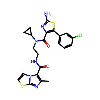 Cc1nc2sccn2c1C(=O)NCCN(C(=O)c1nc(N)sc1-c1cccc(Cl)c1)C1CC1